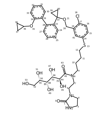 O=C1NCCN1CCN(CCCCSc1ccc(Cl)c(COC2(c3cnccc3-c3ccccc3OC3CC3)CC2)c1)C(=O)[C@@H](O)[C@@H](O)[C@H](O)[C@@H](O)CO